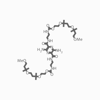 COCCC(C)(C)OCCC(C)(C)OCCOC(=O)NCCNC(=O)c1nc(N)c(C(=O)NCCNC(=O)OCCOC(C)(C)CCOC(C)(C)CCOC)nc1N